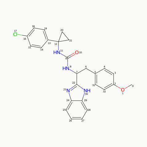 COc1ccc(CC(NC(=O)NC2(c3ccc(Cl)cc3)CC2)c2nc3ccccc3[nH]2)cc1